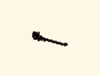 CC(=O)O[C@@]12COC1C[C@H](OC(=O)OCOC(=O)CCOCCOCCOCCOCCOCCOCCOCCOCCSSc1ccccn1)[C@@]1(C)C(=O)[C@H](C)C3=C(C)C(OC(=O)[C@H](O)[C@@H](NC(=O)c4ccccc4)c4ccccc4)C[C@@](O)([C@@H](OC(=O)c4ccccc4)[C@@H]12)C3(C)C